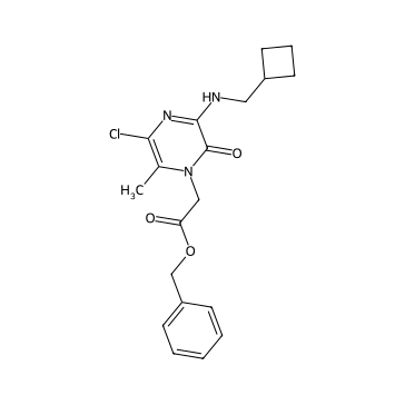 Cc1c(Cl)nc(NCC2CCC2)c(=O)n1CC(=O)OCc1ccccc1